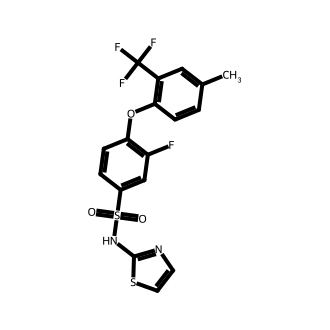 Cc1ccc(Oc2ccc(S(=O)(=O)Nc3nccs3)cc2F)c(C(F)(F)F)c1